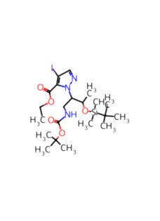 CCOC(=O)c1c(I)cnn1C(CNC(=O)OC(C)(C)C)C(C)O[Si](C)(C)C(C)(C)C